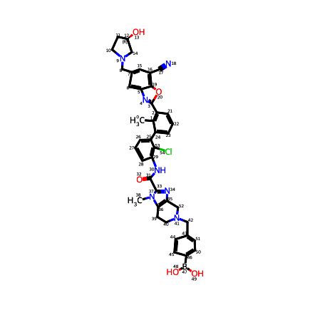 Cc1c(-c2nc3cc(CN4CC[C@@H](O)C4)cc(C#N)c3o2)cccc1-c1cccc(NC(=O)c2nc3c(n2C)CCN(Cc2ccc(B(O)O)cc2)C3)c1Cl